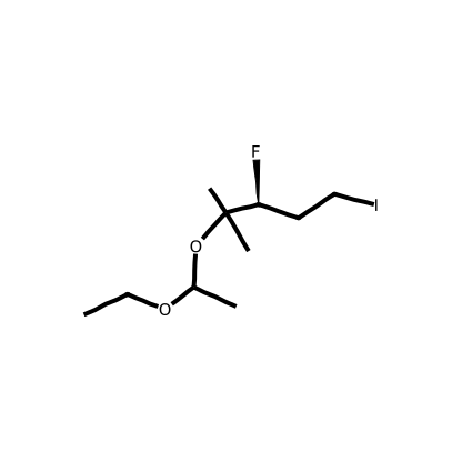 CCOC(C)OC(C)(C)[C@@H](F)CCI